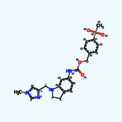 Cn1cnc(CN2CCc3ccc(NC(=O)OCc4ccc(S(C)(=O)=O)cc4)cc32)c1